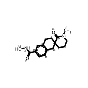 CN1CCCC2(CCc3cc(C(=O)NO)ccc3C2)C1=O